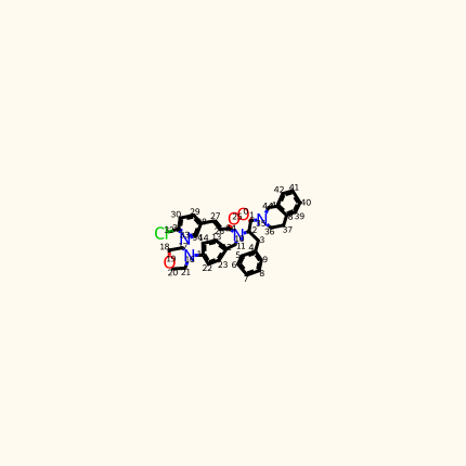 O=C(C(Cc1ccccc1)N(Cc1ccc(N2CCOCC2)cc1)C(=O)C=Cc1ccc(Cl)nc1)N1CCc2ccccc2C1